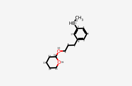 CBc1cccc(CCCOC2CCCCO2)c1